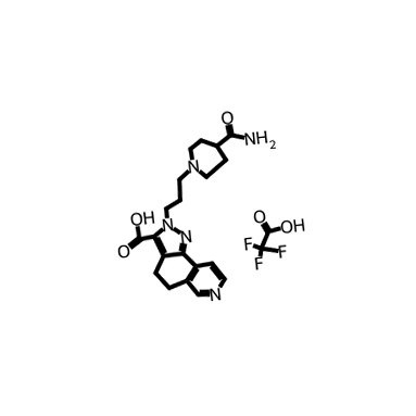 NC(=O)C1CCN(CCCn2nc3c(c2C(=O)O)CCc2cnccc2-3)CC1.O=C(O)C(F)(F)F